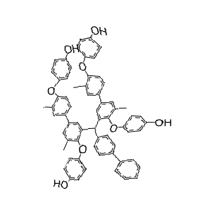 Cc1cc(-c2cc(C)c(Oc3ccc(O)cc3)c(C(c3ccc(-c4ccccc4)cc3)c3cc(-c4ccc(Oc5ccc(O)cc5)c(C)c4)cc(C)c3Oc3ccc(O)cc3)c2)ccc1Oc1ccc(O)cc1